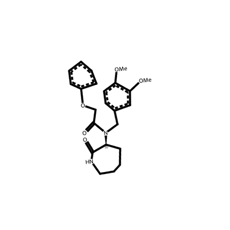 COc1ccc(CN(C(=O)COc2ccccc2)[C@H]2CCCCNC2=O)cc1OC